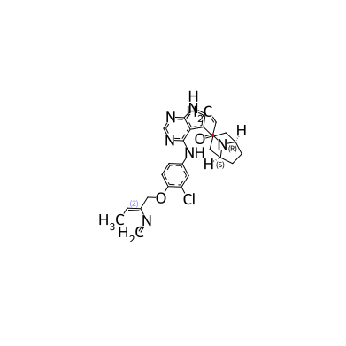 C=CC(=O)N1[C@@H]2CC[C@H]1CC(c1c[nH]c3ncnc(Nc4ccc(OC/C(=C/C)N=C)c(Cl)c4)c13)C2